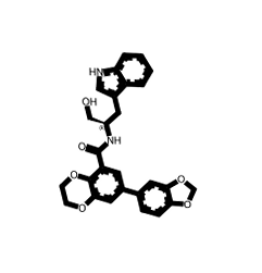 O=C(N[C@@H](CO)Cc1c[nH]c2ccccc12)c1cc(-c2ccc3c(c2)OCO3)cc2c1OCCO2